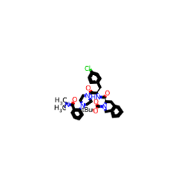 CN(C)C(=O)c1ccccc1N1CCN(C(=O)[C@@H](Cc2ccc(Cl)cc2)NC(=O)[C@@H]2Cc3ccccc3CN2C(=O)OC(C)(C)C)CC1